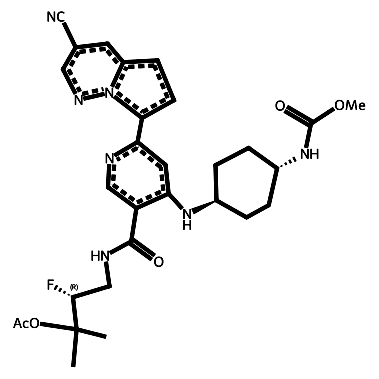 COC(=O)N[C@H]1CC[C@H](Nc2cc(-c3ccc4cc(C#N)cnn34)ncc2C(=O)NC[C@@H](F)C(C)(C)OC(C)=O)CC1